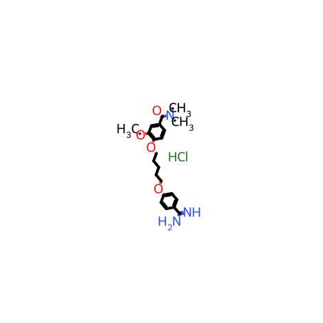 COc1cc(C(=O)N(C)C)ccc1OCCCCCOc1ccc(C(=N)N)cc1.Cl